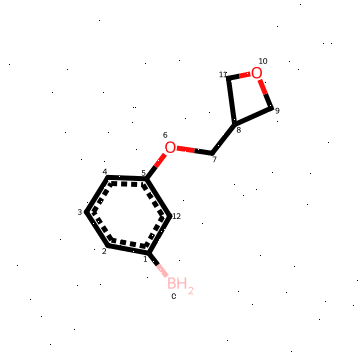 Bc1cccc(OCC2COC2)c1